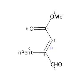 CCCCC/C(C=O)=C\C(=O)OC